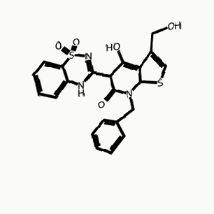 O=C1C(C2=NS(=O)(=O)c3ccccc3N2)C(O)=C2C(CO)=CSC2N1Cc1ccccc1